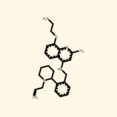 C=CCN1CCCCC1c1ccccc1CNc1cc(C)nc2c(OCCN)cccc12